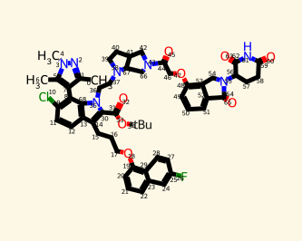 Cc1nn(C)c(C)c1-c1c(Cl)ccc2c(CCCOc3cccc4cc(F)ccc34)c(C(=O)OC(C)(C)C)n(CCN3CCC4CN(C(=O)COc5cccc6c5CN(C5CCC(=O)NC5=O)C6=O)CC43)c12